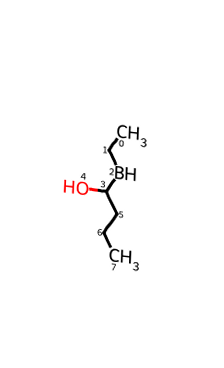 CCBC(O)CCC